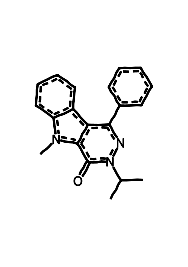 CC(C)n1nc(-c2ccccc2)c2c3ccccc3n(C)c2c1=O